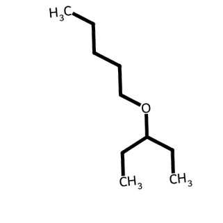 CCCCCOC(CC)CC